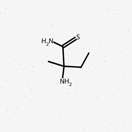 CCC(C)(N)C(N)=S